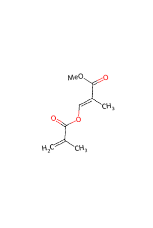 C=C(C)C(=O)OC=C(C)C(=O)OC